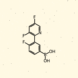 OB(O)c1ccc(F)c(-c2ncc(F)cc2F)c1